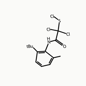 Cc1cccc(C(C)(C)C)c1NC(=O)C(Cl)(Cl)SCl